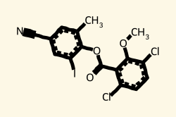 COc1c(Cl)ccc(Cl)c1C(=O)Oc1c(C)cc(C#N)cc1I